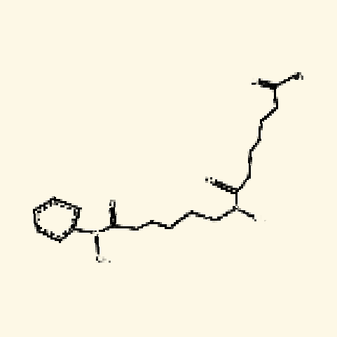 CC(C)C(=O)CCCCCC(=O)N(C)CCCCCC(=O)N(C)c1ccccc1